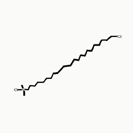 C[Si](C)(Cl)CCCCCCCCCCCCCCCCCCCCCCCl